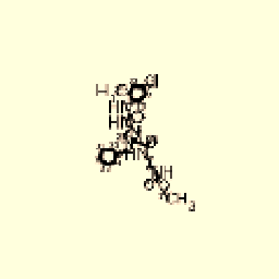 CCOC(=O)NCCNC(=O)C1=NC(NC(=O)Nc2ccc(Cl)cc2C)CN1Cc1ccccc1